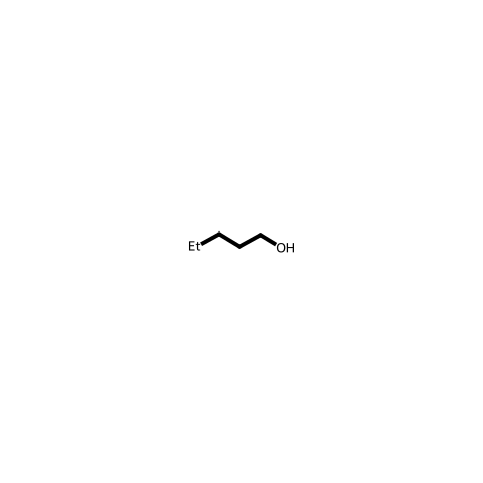 CC[CH]CCO